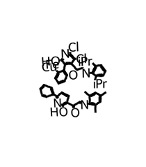 CC(C)c1cccc(C(C)C)c1N=CC(=O)c1c(Cl)c(Cl)nc(O)c1-c1cccc[c]1[Cu].Cc1cc(C)c(N=CC(=O)c2ccc(-c3ccccc3)nc2O)c(C)c1.[Fe]